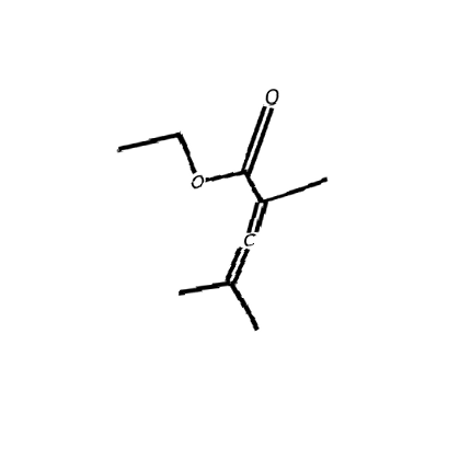 CCOC(=O)C(C)=C=C(C)C